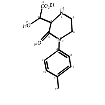 CCOC(=O)C(O)C1NCCN(c2ccc(C)cc2)C1=O